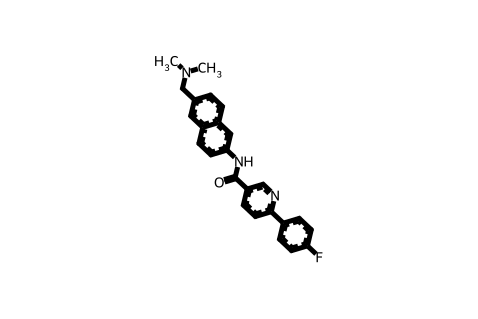 CN(C)Cc1ccc2cc(NC(=O)c3ccc(-c4ccc(F)cc4)nc3)ccc2c1